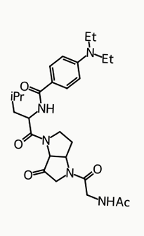 CCN(CC)c1ccc(C(=O)NC(CC(C)C)C(=O)N2CCC3C2C(=O)CN3C(=O)CNC(C)=O)cc1